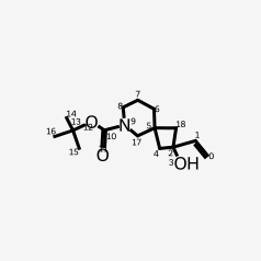 C=CC1(O)CC2(CCCN(C(=O)OC(C)(C)C)C2)C1